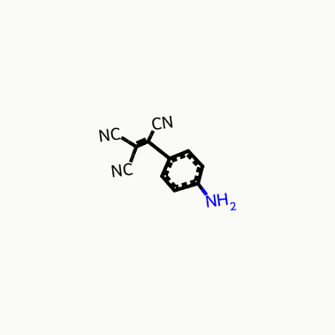 N#CC(C#N)=C(C#N)c1ccc(N)cc1